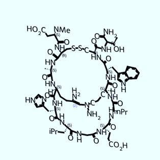 CCC[C@@H]1NC(=O)[C@H](CCC(=O)O)NC(=O)CNC(=O)[C@H](CC(C)C)NC(=O)[C@H](Cc2c[nH]cn2)NC(=O)[C@@H]2CC/C(N)=C/N(N)CCC[C@H](NC1=O)C(=O)N[C@@H](Cc1c[nH]c3ccccc13)C(=O)N[C@H](C(=O)NC(C(N)=O)[C@@H](C)O)CSSC[C@H](NC(=O)[C@H](CC(=O)O)NC)C(=O)N[C@@H](C)C(=O)N2